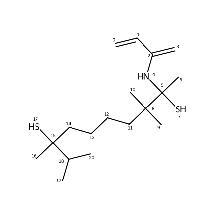 C=CC(=C)NC(C)(S)C(C)(C)CCCCC(C)(S)C(C)C